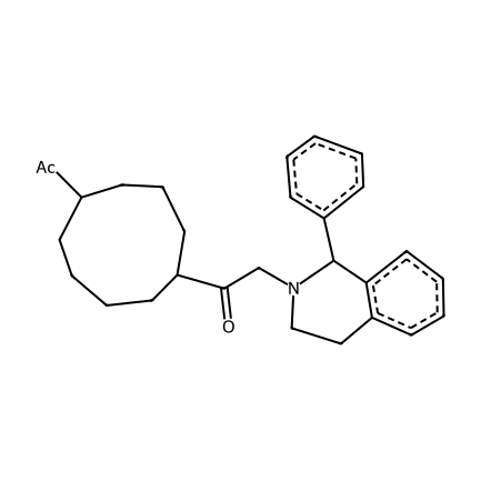 CC(=O)C1CCCCC(C(=O)CN2CCc3ccccc3C2c2ccccc2)CCC1